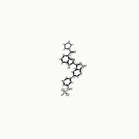 CS(=O)(=O)Nc1cncc(-c2cnc3[nH]nc(-c4nc5c(C(=O)N6CCCC6)cccc5[nH]4)c3c2)c1